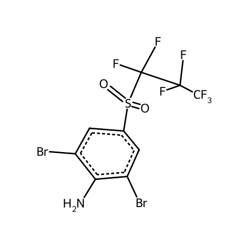 Nc1c(Br)cc(S(=O)(=O)C(F)(F)C(F)(F)C(F)(F)F)cc1Br